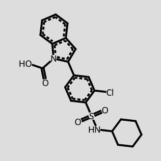 O=C(O)n1c(-c2ccc(S(=O)(=O)NC3CCCCC3)c(Cl)c2)cc2ccccc21